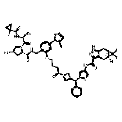 Cc1ncsc1-c1ccc(CNC(=O)[C@@H]2C[C@@H](O)CN2C(=O)C(NC(=O)C2(F)CC2)C(C)(C)C)c(OCCCC(=O)N2CC(C(c3ccccc3)n3cc(NC(=O)c4n[nH]c5c4C[C@@H]4C(F)(F)[C@]4(C)C5)cn3)C2)c1